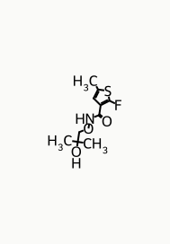 Cc1cc(C(=O)NOCC(C)(C)O)c(F)s1